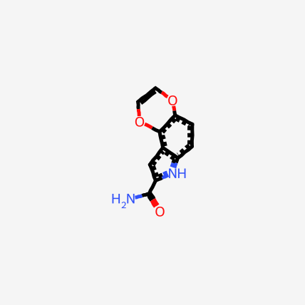 NC(=O)c1cc2c3c(ccc2[nH]1)OC=CO3